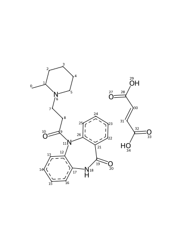 CC1CCCCN1CCC(=O)N1c2ccccc2NC(=O)c2ccccc21.O=C(O)/C=C/C(=O)O